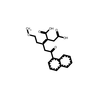 COCCC(CC(=O)c1cccc2ccccc12)=C(CC(=O)O)C(=O)O